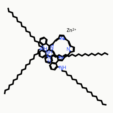 CCCCCCCCCCCCCCCCCCNc1ccccc1C1=CC2=CC3=NC(=CC4=NC(=CC5=NC(=C(c6ccccc6NCCCCCCCCCCCCCCCCCC)C1=N2)C(c1ccccc1NCCCCCCCCCCCCCCCCCC)=C5c1ccccc1NCCCCCCCCCCCCCCCCCC)C=C4)C=C3.[Zn+2]